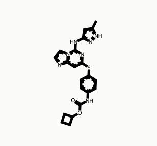 Cc1cc(Nc2nc(Sc3ccc(NC(=O)OC4CCC4)cc3)cc3nccn23)n[nH]1